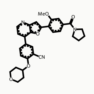 COc1cc(C(=O)N2CCCC2)ccc1-c1cc2nccc(-c3ccc(OC4CCOCC4)c(C#N)c3)c2o1